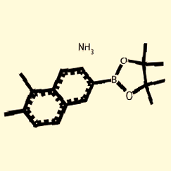 Cc1ccc2cc(B3OC(C)(C)C(C)(C)O3)ccc2c1C.N